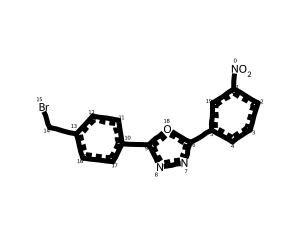 O=[N+]([O-])c1cccc(-c2nnc(-c3ccc(CBr)cc3)o2)c1